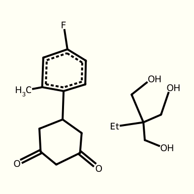 CCC(CO)(CO)CO.Cc1cc(F)ccc1C1CC(=O)CC(=O)C1